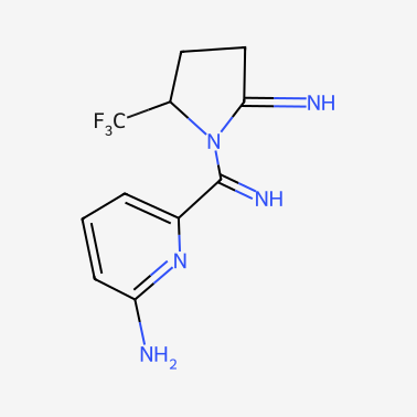 N=C1CCC(C(F)(F)F)N1C(=N)c1cccc(N)n1